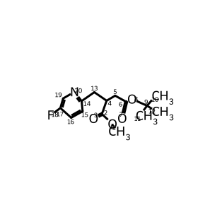 COC(=O)C(CC(=O)OC(C)(C)C)Cc1ccc(F)cn1